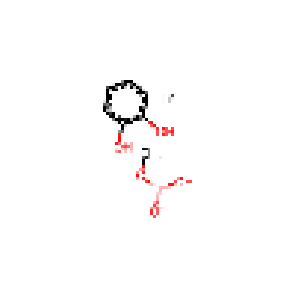 COB([O-])O.Oc1ccccc1O.[Li+]